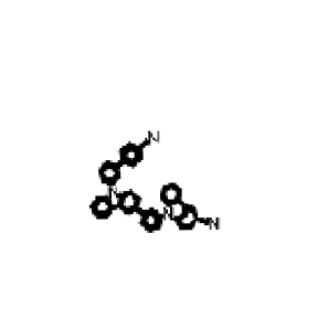 N#Cc1ccc(-c2cccc(N3C4=C(C=C(c5cccc(N6C7=CCC(C#N)C=C(C7)c7ccccc76)c5)CC4)C4C=CC=CC43)c2)cc1